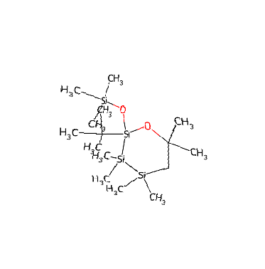 CC1(C)C[Si](C)(C)[Si](C)(C)[Si](O[Si](C)(C)C)(C(C)(C)C)O1